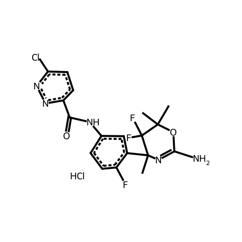 CC1(C)OC(N)=NC(C)(c2cc(NC(=O)c3ccc(Cl)nn3)ccc2F)C1(F)F.Cl